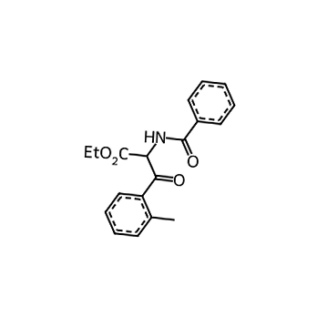 CCOC(=O)C(NC(=O)c1ccccc1)C(=O)c1ccccc1C